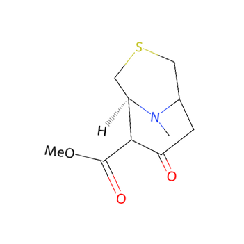 COC(=O)C1C(=O)CC2CSC[C@H]1N2C